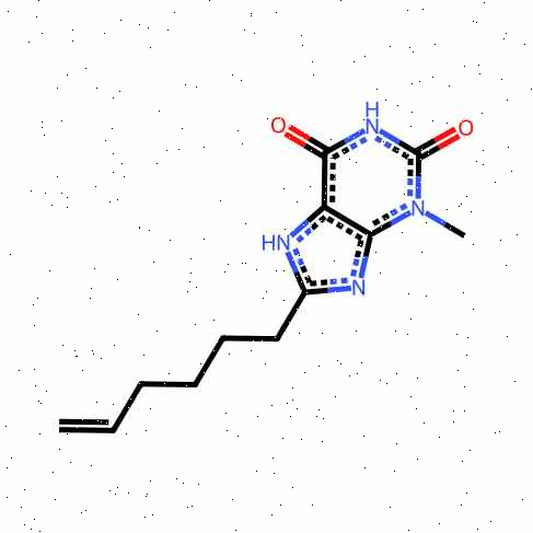 C=CCCCCc1nc2c([nH]1)c(=O)[nH]c(=O)n2C